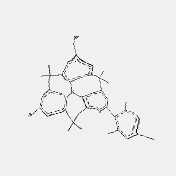 Cc1cc(C)c(-c2cc3c4c(n2)C(C)(C)c2cc(Br)cc5c2N4c2c(cc(Br)cc2C3(C)C)C5(C)C)c(C)c1